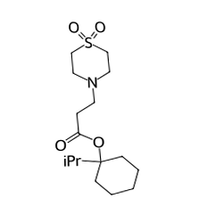 CC(C)C1(OC(=O)CCN2CCS(=O)(=O)CC2)CCCCC1